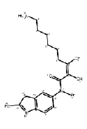 CC(C)N(C(=O)/C(C#N)=C(/O)CCCCCCC(=O)O)c1ccc2nc(S)sc2c1